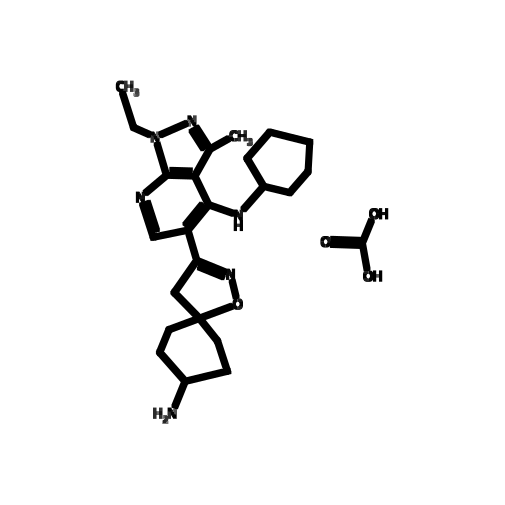 CCn1nc(C)c2c(NC3CCCCC3)c(C3=NOC4(CCC(N)CC4)C3)cnc21.O=C(O)O